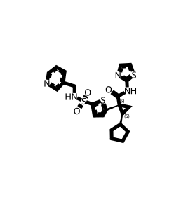 O=C(Nc1nccs1)[C@]1(c2ccc(S(=O)(=O)NCc3cccnc3)s2)C[C@H]1C1CCCC1